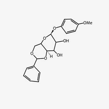 COc1ccc(O[C@@H]2OC3COC(c4ccccc4)O[C@@H]3C(O)C2O)cc1